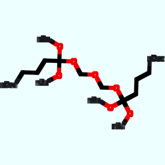 CCCCCCCCCCCCCC(OCCCC)(OCCCC)OCOCOC(CCCCCCCCCCCCC)(OCCCC)OCCCC